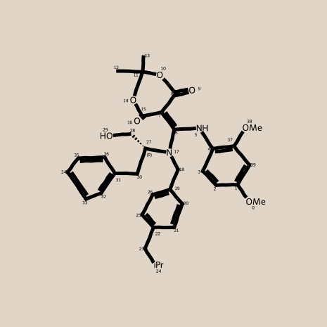 COc1ccc(NC(=C2C(=O)OC(C)(C)OC2=O)N(Cc2ccc(CC(C)C)cc2)[C@@H](CO)Cc2ccccc2)c(OC)c1